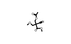 COCC(C#N)(COC(C)=O)C(=O)OC